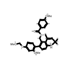 COCOc1ccc(-c2ccc3c(c2COC(=O)c2ccc(OC)cc2)C(C)=CC(C)(C)N3)c(OC)c1